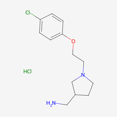 Cl.NCC1CCN(CCOc2ccc(Cl)cc2)C1